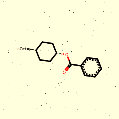 CCCCCCCC[C@H]1CC[C@H](OC(=O)c2ccccc2)CC1